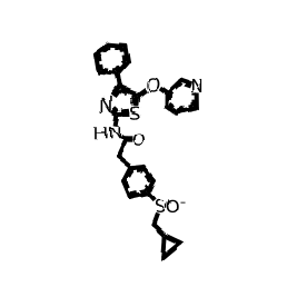 O=C(Cc1ccc([S+]([O-])CC2CC2)cc1)Nc1nc(-c2ccccc2)c(Oc2cccnc2)s1